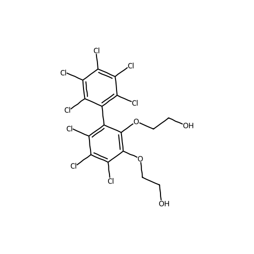 OCCOc1c(Cl)c(Cl)c(Cl)c(-c2c(Cl)c(Cl)c(Cl)c(Cl)c2Cl)c1OCCO